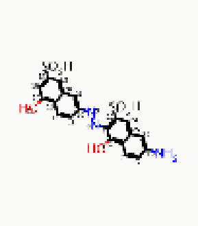 Nc1ccc2c(O)c(N=Nc3ccc4c(O)cc(S(=O)(=O)O)cc4c3)c(S(=O)(=O)O)cc2c1